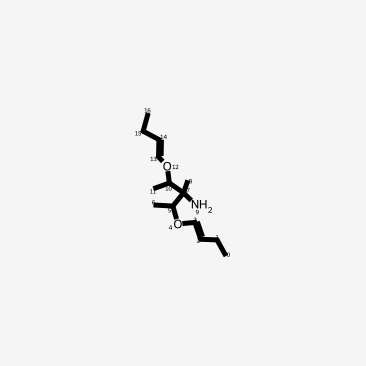 CCC=COC(C)C(C)(N)C(C)OC=CCC